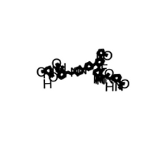 CNC(=O)c1cccc(NC(=O)c2nn(C)c3ccc(-c4ccc(N5CCCC5=O)cc4-c4ccc(N5CCN(CCc6cccc7c6n(C)c(=O)n7C6CCC(=O)NC6=O)CC5)cc4)c(F)c23)c1